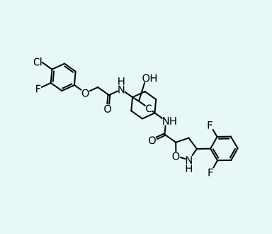 O=C(COc1ccc(Cl)c(F)c1)NC12CCC(NC(=O)C3CC(c4c(F)cccc4F)NO3)(CC1)CC2O